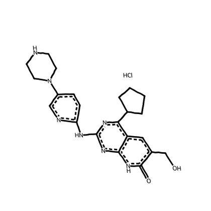 Cl.O=c1[nH]c2nc(Nc3ccc(N4CCNCC4)cn3)nc(C3CCCC3)c2cc1CO